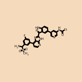 CCC(=O)Nc1cncc(-c2ccc3[nH]nc(-c4nc5c(-c6cc(F)cc(C(N)S(C)(=O)=O)c6)ccnc5[nH]4)c3c2)c1